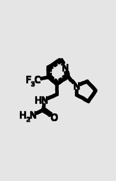 NC(=O)NCc1c(C(F)(F)F)ccnc1N1CCCC1